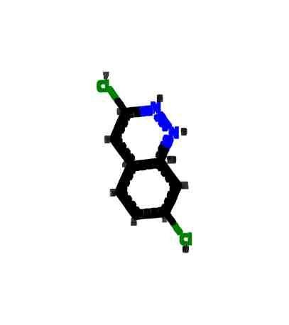 Clc1ccc2cc(Cl)nnc2c1